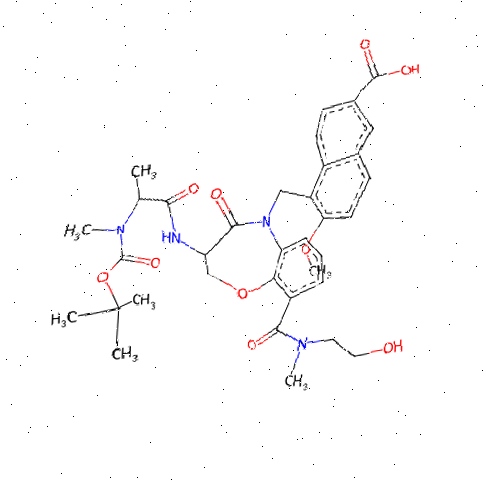 COc1ccc2cc(C(=O)O)ccc2c1CN1C(=O)C(NC(=O)C(C)N(C)C(=O)OC(C)(C)C)COc2c(C(=O)N(C)CCO)cccc21